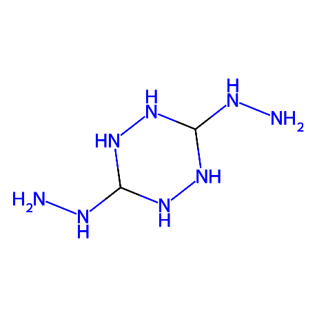 NNC1NNC(NN)NN1